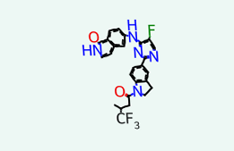 CC(CC(=O)N1CCc2cc(-c3ncc(F)c(Nc4ccc5c(=O)[nH]ccc5c4)n3)ccc21)C(F)(F)F